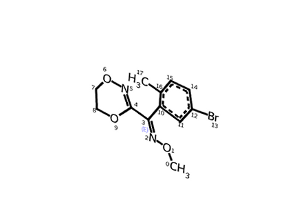 CO/N=C(/C1=NOCCO1)c1cc(Br)ccc1C